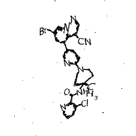 CC1(NC(=O)c2ncccc2Cl)CCN(c2ccc(-c3cc(Br)cn4ncc(C#N)c34)cn2)CC1